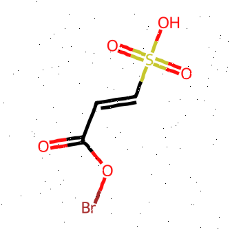 O=C(C=CS(=O)(=O)O)OBr